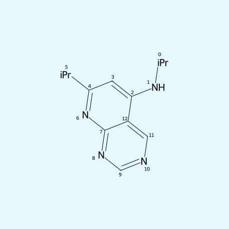 CC(C)Nc1cc(C(C)C)nc2ncncc12